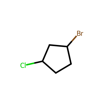 ClC1CCC(Br)C1